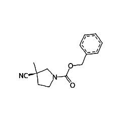 C[C@@]1(C#N)CCN(C(=O)OCc2ccccc2)C1